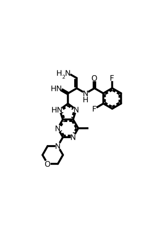 Cc1nc(N2CCOCC2)nc2[nH]c(C(=N)/C(=C\N)NC(=O)c3c(F)cccc3F)nc12